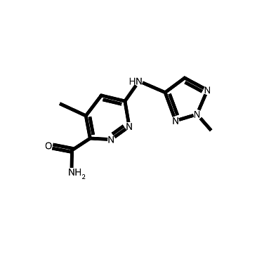 Cc1cc(Nc2cnn(C)n2)nnc1C(N)=O